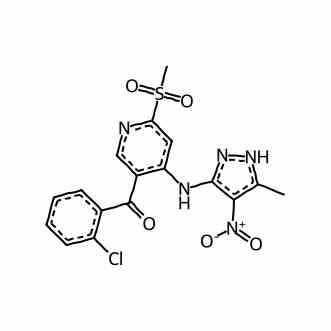 Cc1[nH]nc(Nc2cc(S(C)(=O)=O)ncc2C(=O)c2ccccc2Cl)c1[N+](=O)[O-]